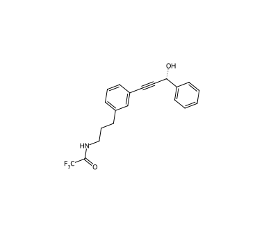 O=C(NCCCc1cccc(C#C[C@H](O)c2ccccc2)c1)C(F)(F)F